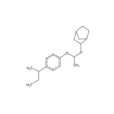 CCC(C)c1ccc(OC(C)OC2CC3CCC2C3)cc1